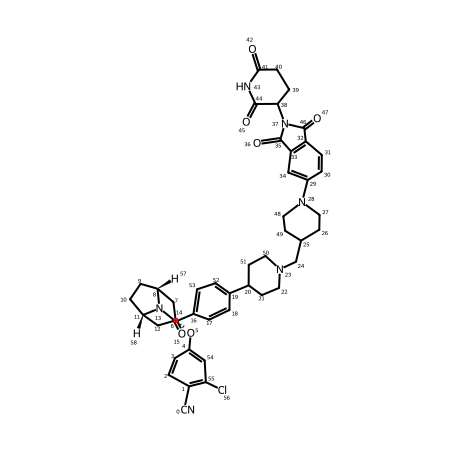 N#Cc1ccc(O[C@H]2C[C@H]3CC[C@@H](C2)N3C(=O)c2ccc(C3CCN(CC4CCN(c5ccc6c(c5)C(=O)N(C5CCC(=O)NC5=O)C6=O)CC4)CC3)cc2)cc1Cl